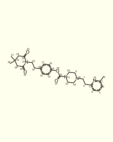 Cc1cccc(CCN2CCN(C(=O)Oc3ccc(CCN4C(=O)CC(C)(C)CC4=O)cc3)CC2)n1